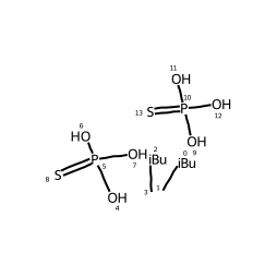 CCC(C)C.CCC(C)C.OP(O)(O)=S.OP(O)(O)=S